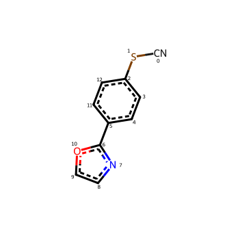 N#CSc1ccc(-c2ncco2)cc1